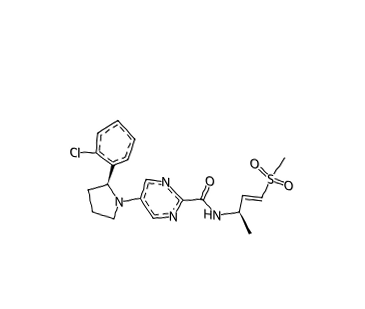 C[C@H](/C=C/S(C)(=O)=O)NC(=O)c1ncc(N2CCC[C@H]2c2ccccc2Cl)cn1